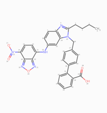 CCCCc1nc2ccc(Nc3ccc([N+](=O)[O-])c4nonc34)cc2n1Cc1ccc(-c2ccccc2C(=O)O)cc1